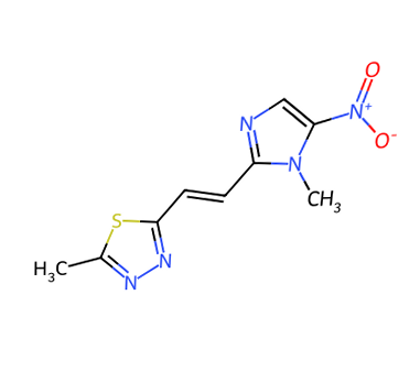 Cc1nnc(C=Cc2ncc([N+](=O)[O-])n2C)s1